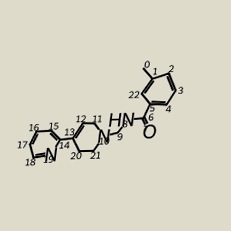 Cc1cccc(C(=O)NCN2CC=C(c3ccccn3)CC2)c1